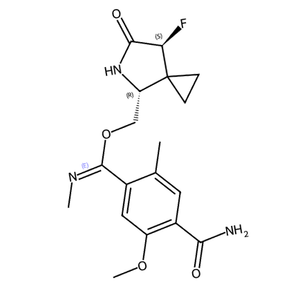 C/N=C(/OC[C@@H]1NC(=O)[C@@H](F)C12CC2)c1cc(OC)c(C(N)=O)cc1C